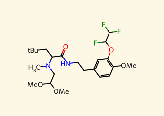 COc1ccc(CCNC(=O)C(CC(C)(C)C)N(C)CC(OC)OC)cc1OC(F)C(F)F